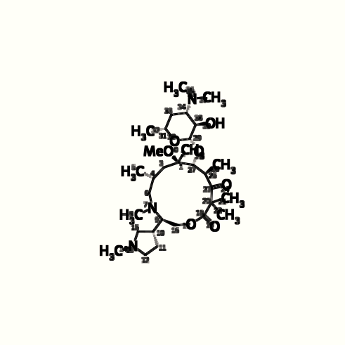 CO[C@]1(C)C[C@@H](C)CN(C)[C@H]([C@@H]2CCN(C)C2)COC(=O)C(C)(C)C(=O)[C@H](C)[C@H]1O[C@@H]1O[C@H](C)C[C@H](N(C)C)[C@H]1O